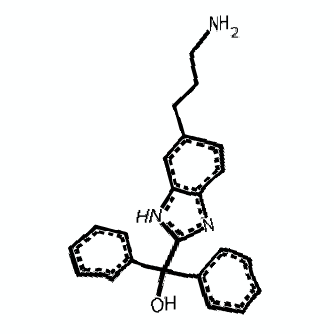 NCCCc1ccc2nc(C(O)(c3ccccc3)c3ccccc3)[nH]c2c1